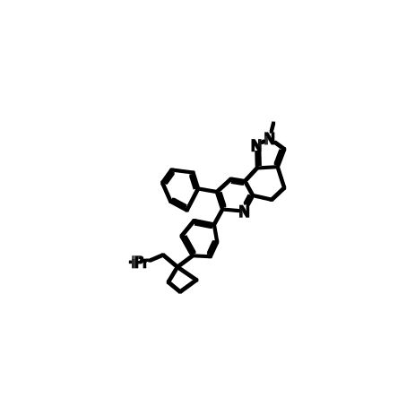 C[C](C)CC1(c2ccc(-c3nc4c(cc3-c3ccccc3)-c3nn(C)cc3CC4)cc2)CCC1